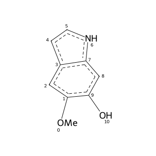 COc1cc2cc[nH]c2cc1O